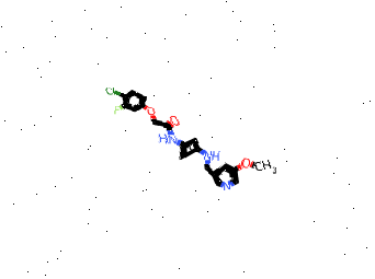 COc1cncc(CNC23CC(NC(=O)COc4ccc(Cl)c(F)c4)(C2)C3)c1